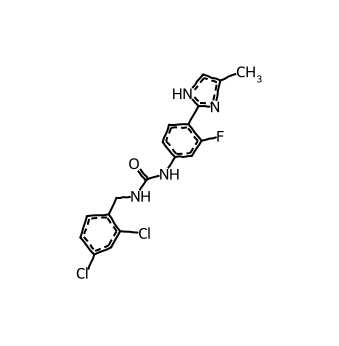 Cc1c[nH]c(-c2ccc(NC(=O)NCc3ccc(Cl)cc3Cl)cc2F)n1